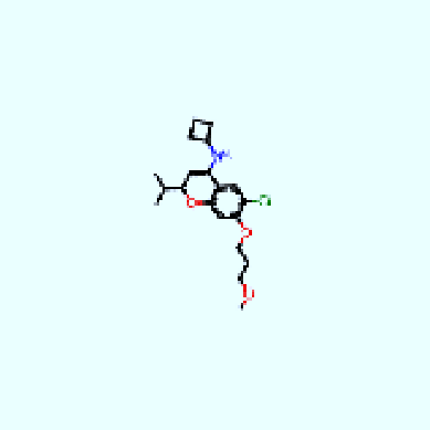 COCCCOc1cc2c(cc1Cl)C(NC1CCC1)=CC(C(C)C)O2